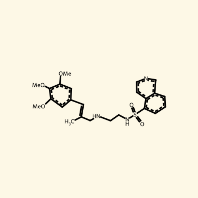 COc1cc(C=C(C)CNCCNS(=O)(=O)c2cccc3cnccc23)cc(OC)c1OC